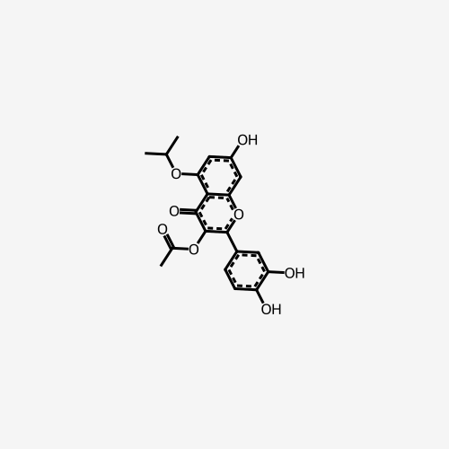 CC(=O)Oc1c(-c2ccc(O)c(O)c2)oc2cc(O)cc(OC(C)C)c2c1=O